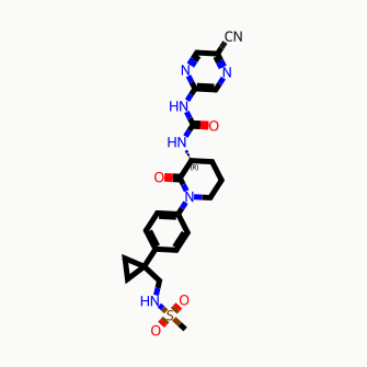 CS(=O)(=O)NCC1(c2ccc(N3CCC[C@@H](NC(=O)Nc4cnc(C#N)cn4)C3=O)cc2)CC1